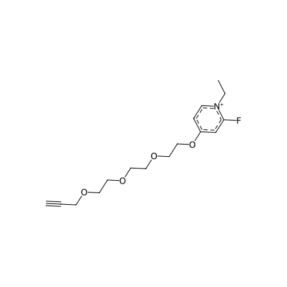 C#CCOCCOCCOCCOc1cc[n+](CC)c(F)c1